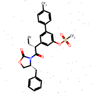 CC(C)C[C@@H](C(=O)N1C(=O)OC[C@H]1Cc1ccccc1)c1cc(OS(=O)(=O)C(F)(F)F)cc(-c2ccc(C(F)(F)F)cc2)c1